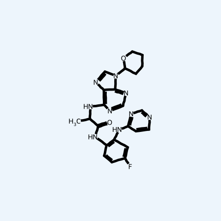 CC(Nc1ncnc2c1ncn2C1CCCCO1)C(=O)Nc1ccc(F)cc1Nc1ccncn1